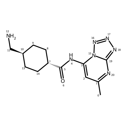 Cc1cc(NC(=O)[C@H]2CC[C@H](CN)CC2)n2nnnc2n1